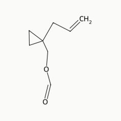 C=CCC1(COC=O)CC1